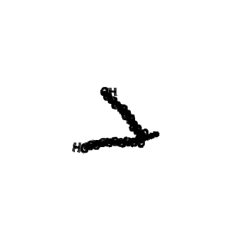 CCCCCCCCC(C(=O)OCCOCCOCCOCCOCCOCCOCCOCCOCCO)C(=O)OCCOCCOCCOCCOCCOCCOCCOCCOCCO